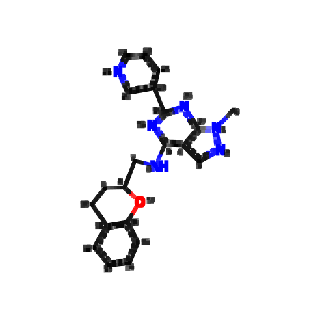 Cn1ncc2c(NCC3CCc4ccccc4O3)nc(-c3cccnc3)nc21